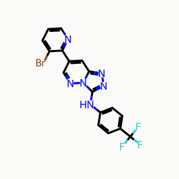 FC(F)(F)c1ccc(Nc2nnc3cc(-c4ncccc4Br)cnn23)cc1